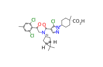 Cc1cc(Cl)c(C(=O)CN(C(=O)c2cnn([C@H]3CC[C@](C)(C(=O)O)CC3)c2Cl)[C@@H]2C[C@@H]3[C@H](C2)C3(C)C)c(Cl)c1